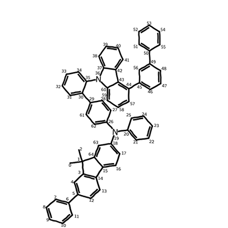 CC1(C)c2cc(-c3ccccc3)ccc2-c2ccc(N(c3ccccc3)c3ccc(-c4ccccc4-n4c5ccccc5c5c(-c6cccc(-c7ccccc7)c6)cccc54)cc3)cc21